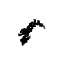 Cc1cc(OCc2ccc(F)cc2F)c(Br)c(=O)n1Cc1cnc(NCC(N)=O)nc1